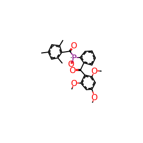 COc1cc(OC)c(C(=O)c2ccccc2[P](=O)C(=O)c2c(C)cc(C)cc2C)c(OC)c1